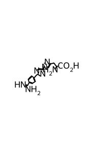 N=C(N)c1ccc(-c2cnc(-n3cnc(CC(N)C(=O)O)c3)cn2)cc1